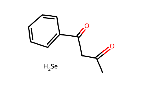 CC(=O)CC(=O)c1ccccc1.[SeH2]